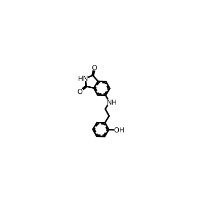 O=C1NC(=O)c2cc(NCCc3ccccc3O)ccc21